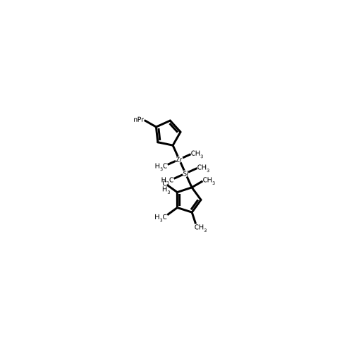 CCCC1=C[CH]([Zr]([CH3])([CH3])[Si](C)(C)C2(C)C=C(C)C(C)=C2C)C=C1